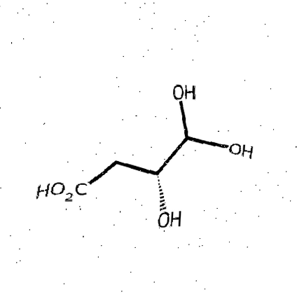 O=C(O)C[C@@H](O)C(O)O